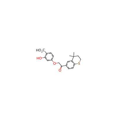 CC1(C)CCSc2ccc(C(=O)COc3ccc(C(=O)O)c(O)c3)cc21